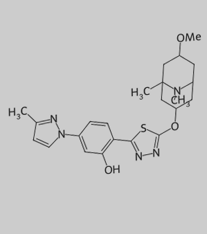 COC1CC2CC(Oc3nnc(-c4ccc(-n5ccc(C)n5)cc4O)s3)CC(C)(C1)N2C